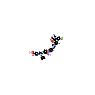 Cc1cc(S(=O)(=O)Nc2ccc(N3CCN(c4cc(F)cc(-c5c(S(C)(=O)=O)c(C)n(C(C)C)c5-c5ccc(Cl)cc5)c4)CC3)cc2)ccc1NC(CCN1CCC(C(=O)O)CC1)CSc1ccccc1